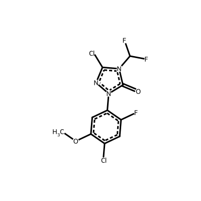 COc1cc(-n2nc(Cl)n(C(F)F)c2=O)c(F)cc1Cl